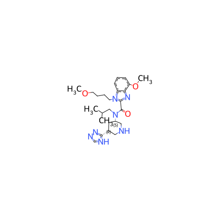 COCCCCn1c(C(=O)N(CC(C)C)[C@@H]2CNC[C@H](c3nnc[nH]3)C2)nc2c(OC)cccc21